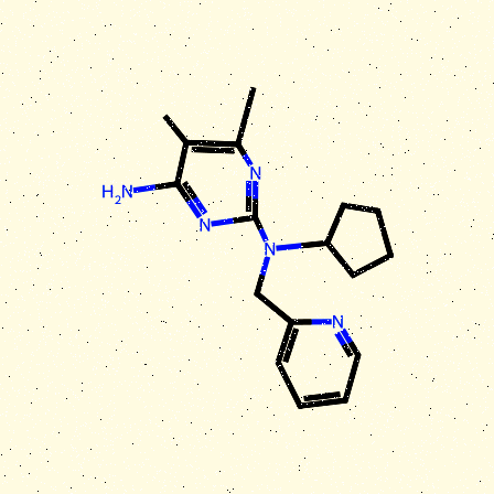 Cc1nc(N(Cc2ccccn2)C2CCCC2)nc(N)c1C